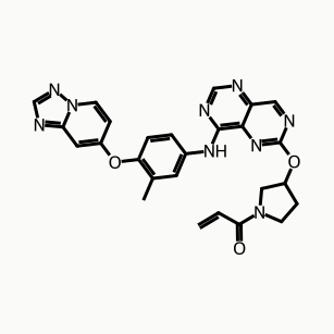 C=CC(=O)N1CCC(Oc2ncc3ncnc(Nc4ccc(Oc5ccn6ncnc6c5)c(C)c4)c3n2)C1